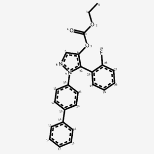 CCOC(=O)Oc1cnn(-c2ccc(-c3ccccc3)cc2)c1-c1ccccc1F